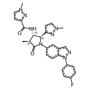 C[C@@H]1C(=O)N(c2ccc3c(cnn3-c3ccc(F)cc3)c2)[C@H](c2ccn(C)n2)[C@H]1NC(=O)c1ccn(C)n1